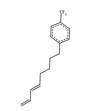 [CH]=CC=CCCCCc1ccc(C(F)(F)F)cc1